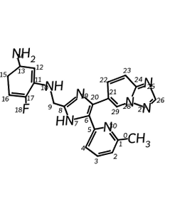 Cc1cccc(-c2[nH]c(CNC3=CC(N)CC=C3F)nc2-c2ccc3ncnn3c2)n1